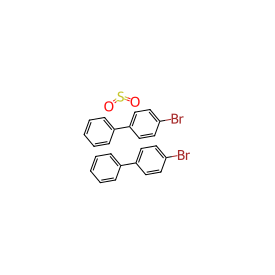 Brc1ccc(-c2ccccc2)cc1.Brc1ccc(-c2ccccc2)cc1.O=S=O